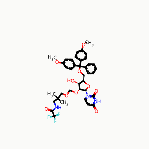 COc1ccc(C(OC[C@H]2O[C@@H](n3ccc(=O)[nH]c3=O)[C@H](OCOCC(C)(C)CNC(=O)C(F)(F)F)[C@H]2O)(c2ccccc2)c2ccc(OC)cc2)cc1